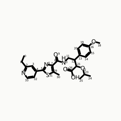 CCc1cc(-c2nc(C(=O)NCC(c3ccc(OC)cc3)C(OC(C)C)C(=O)O)c(C)s2)ccn1